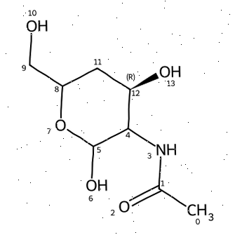 CC(=O)NC1C(O)OC(CO)C[C@H]1O